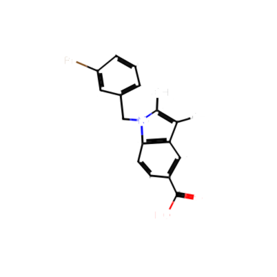 Cc1c(C)n(Cc2cccc(Br)c2)c2ccc(C(=O)O)cc12